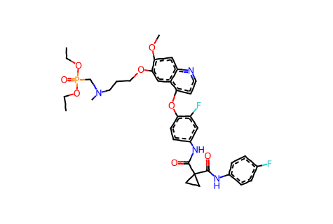 CCOP(=O)(CN(C)CCCOc1cc2c(Oc3ccc(NC(=O)C4(C(=O)Nc5ccc(F)cc5)CC4)cc3F)ccnc2cc1OC)OCC